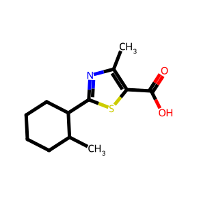 Cc1nc(C2CCCCC2C)sc1C(=O)O